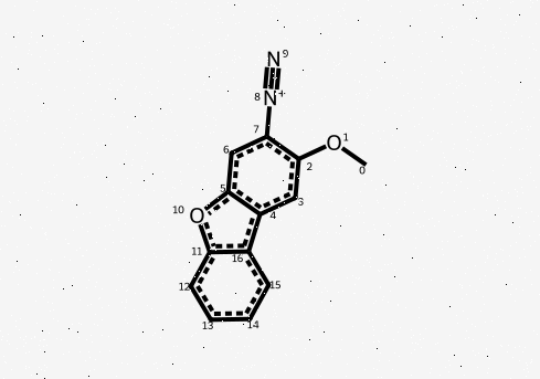 COc1cc2c(cc1[N+]#N)oc1ccccc12